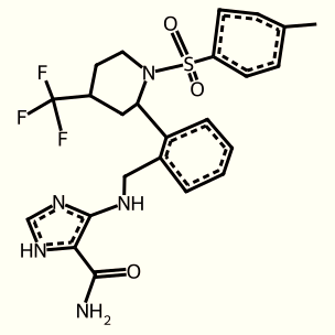 Cc1ccc(S(=O)(=O)N2CCC(C(F)(F)F)CC2c2ccccc2CNc2nc[nH]c2C(N)=O)cc1